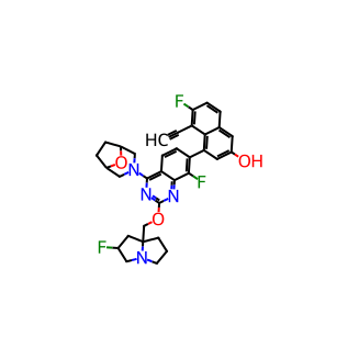 C#Cc1c(F)ccc2cc(O)cc(-c3ccc4c(N5CC6CCC(C5)O6)nc(OCC56CCCN5CC(F)C6)nc4c3F)c12